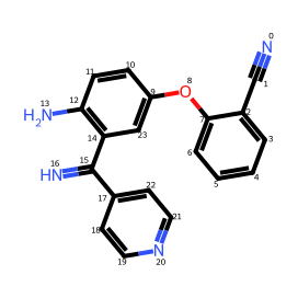 N#Cc1ccccc1Oc1ccc(N)c(C(=N)c2ccncc2)c1